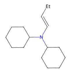 CCC=CN(C1CCCCC1)C1CCCCC1